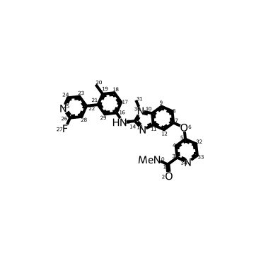 CNC(=O)c1cc(Oc2ccc3c(c2)nc(Nc2ccc(C)c(-c4ccnc(F)c4)c2)n3C)ccn1